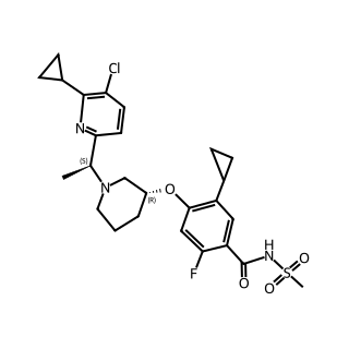 C[C@@H](c1ccc(Cl)c(C2CC2)n1)N1CCC[C@@H](Oc2cc(F)c(C(=O)NS(C)(=O)=O)cc2C2CC2)C1